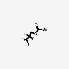 CCC(C)C(=O)OCC(F)(F)C(F)F